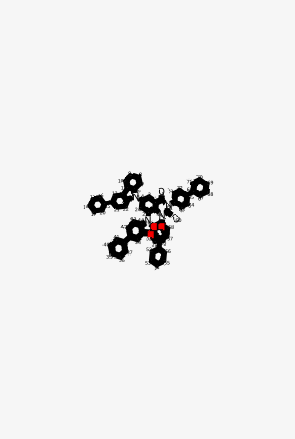 O=c1c2cc(-n3c4ccccc4c4cc(-c5ccccc5)ccc43)cc(-n3c4ccccc4c4cc(-c5ccccc5)ccc43)c2n(-c2ccc(-c3ccccc3)cc2)c(=O)n1-c1ccc(-c2ccccc2)cc1